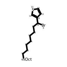 CCCCCCCCCCCCCCCC(Br)c1ccsc1